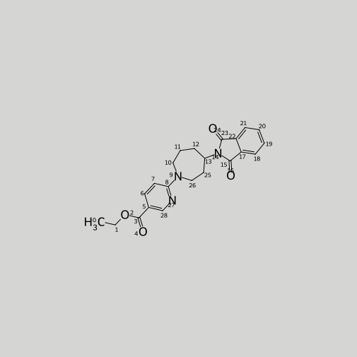 CCOC(=O)c1ccc(N2CCCC(N3C(=O)c4ccccc4C3=O)CC2)nc1